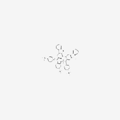 CC(C)(C)c1ccc(N2B3c4cc(C(C)(C)C)ccc4N(c4ccc(C(C)(C)C)cc4)c4cc5c(c(c43)-c3cc4c(cc32)sc2ccccc24)C(C)(C)c2ccccc2-5)cc1